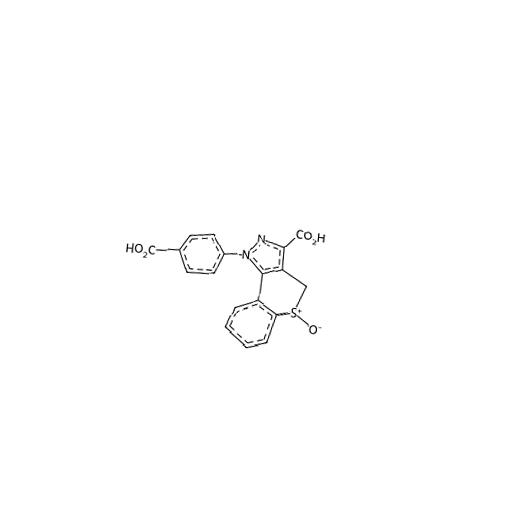 O=C(O)c1ccc(-n2nc(C(=O)O)c3c2-c2ccccc2[S+]([O-])C3)cc1